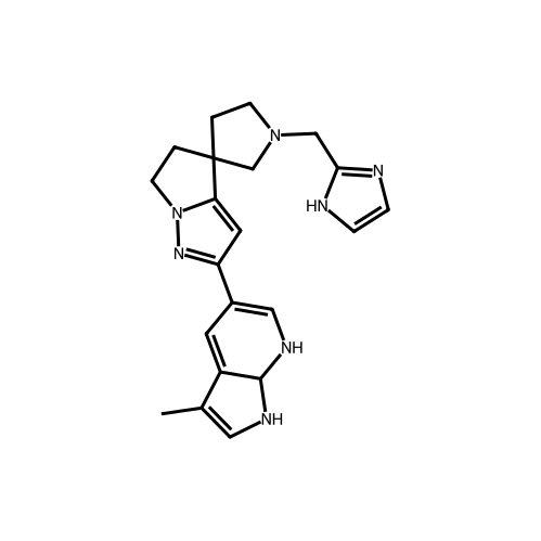 CC1=CNC2NC=C(c3cc4n(n3)CCC43CCN(Cc4ncc[nH]4)C3)C=C12